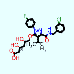 CC(C)c1c(C(=O)NCc2cccc(Cl)c2)nn(-c2ccc(F)cc2)c1OC[C@@H](O)C[C@@H](O)CC(=O)O